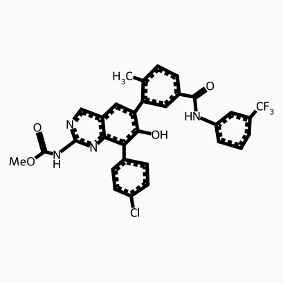 COC(=O)Nc1ncc2cc(-c3cc(C(=O)Nc4cccc(C(F)(F)F)c4)ccc3C)c(O)c(-c3ccc(Cl)cc3)c2n1